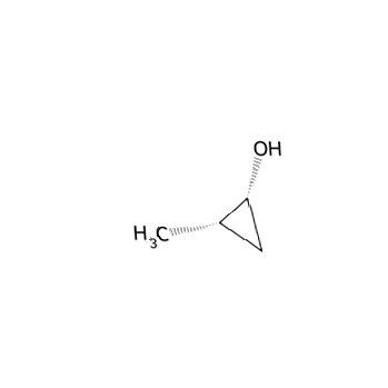 C[C@H]1C[C@H]1O